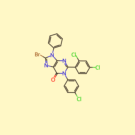 O=c1c2nc(Br)n(-c3ccccc3)c2nc(-c2ccc(Cl)cc2Cl)n1-c1ccc(Cl)cc1